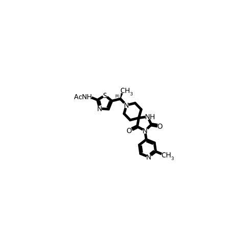 CC(=O)Nc1ncc([C@@H](C)N2CCC3(CC2)NC(=O)N(c2ccnc(C)c2)C3=O)s1